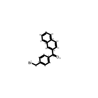 O=C(c1ccc(CBr)cc1)c1ccc2ccccc2c1